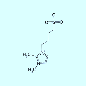 Cc1n(C)cc[n+]1CCCCS(=O)(=O)[O-]